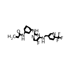 C=CC(=O)Nc1cccc(Nc2ncc(F)c(NCc3ccc(C(F)(F)F)nc3)n2)c1